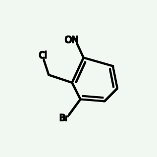 O=Nc1cccc(Br)c1CCl